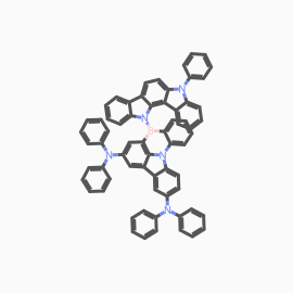 c1ccc(N(c2ccccc2)c2ccc3c(c2)c2cc(N(c4ccccc4)c4ccccc4)cc4c2n3-c2ccccc2B4n2c3ccccc3c3ccc4c(c5ccccc5n4-c4ccccc4)c32)cc1